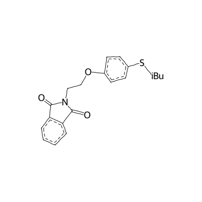 CCC(C)Sc1ccc(OCCN2C(=O)c3ccccc3C2=O)cc1